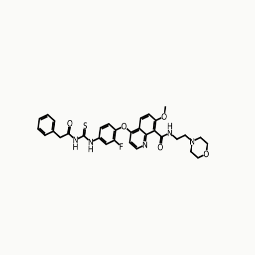 COc1ccc2c(Oc3ccc(NC(=S)NC(=O)Cc4ccccc4)cc3F)ccnc2c1C(=O)NCCN1CCOCC1